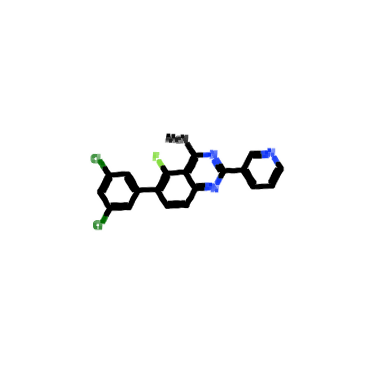 CNc1nc(-c2cccnc2)nc2ccc(-c3cc(Cl)cc(Cl)c3)c(F)c12